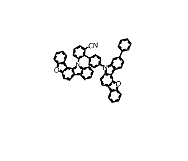 N#Cc1cccc(-n2c3ccccc3c3ccc4oc5ccccc5c4c32)c1-c1ccc(-n2c3cc(-c4ccccc4)ccc3c3c4oc5ccccc5c4ccc32)cc1